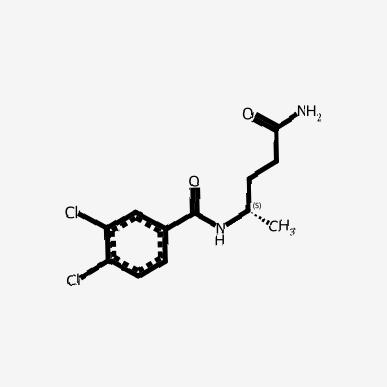 C[C@@H](CCC(N)=O)NC(=O)c1ccc(Cl)c(Cl)c1